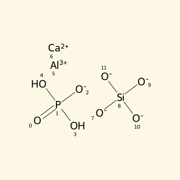 O=P([O-])(O)O.[Al+3].[Ca+2].[O-][Si]([O-])([O-])[O-]